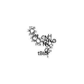 CC1(O[Si](C)(C)C(C)(C)C)CC2(CC(=O)Nc3c(C#N)c(-c4ccc5ccc(-c6ccccc6)nc5c4)nn32)C1